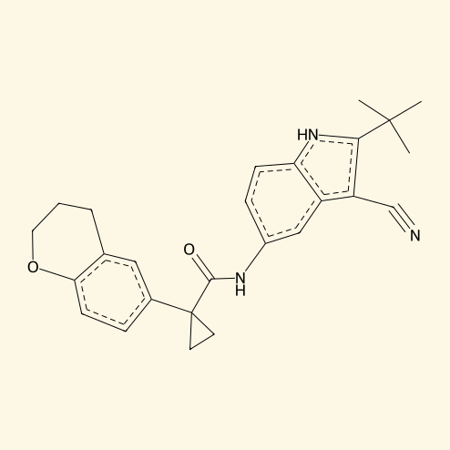 CC(C)(C)c1[nH]c2ccc(NC(=O)C3(c4ccc5c(c4)CCCO5)CC3)cc2c1C#N